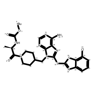 C[C@@H](NC(=O)OC(C)(C)C)C(=O)N1CCC(Cn2c(Sc3nc4cccc(Cl)c4s3)nc3c(N)ncnc32)CC1